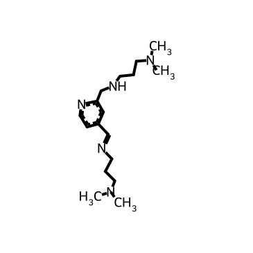 CN(C)CCCN=Cc1ccnc(CNCCCN(C)C)c1